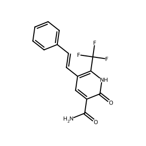 NC(=O)c1cc(/C=C/c2ccccc2)c(C(F)(F)F)[nH]c1=O